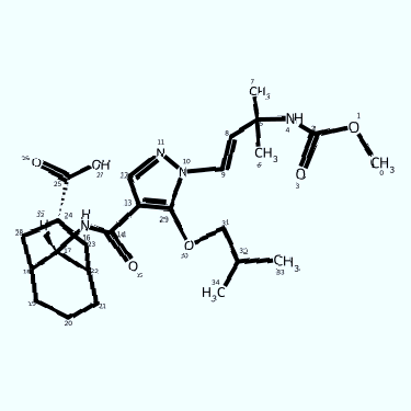 COC(=O)NC(C)(C)/C=C/n1ncc(C(=O)N[C@H]2C3CCCC2C[C@@H](C(=O)O)C3)c1OCC(C)C